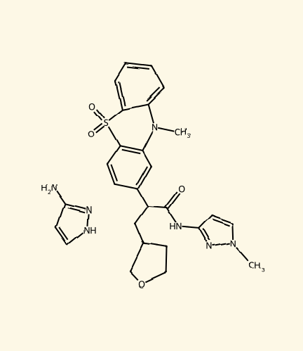 CN1c2ccccc2S(=O)(=O)c2ccc(C(CC3CCOC3)C(=O)Nc3ccn(C)n3)cc21.Nc1cc[nH]n1